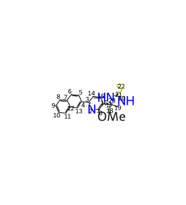 COc1nc(-c2ccc3ccccc3c2)ccc1C1(C)CNC(=S)N1